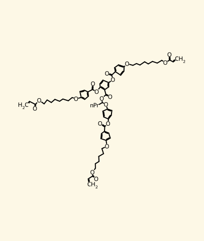 C=CC(=O)OCCCCCCCCOc1ccc(C(=O)Oc2ccc(OC(=O)c3ccc(OCCCCCCCCOC(=O)C=C)cc3)c(C(=O)OC(CCC)Oc3ccc(OC(=O)c4ccc(OCCCCCCOC(=O)C=C)cc4)cc3)c2)cc1